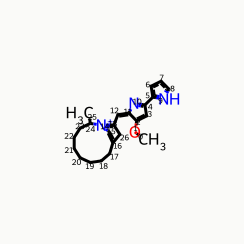 COC1=CC(c2ccc[nH]2)=NC1=CC1=[N+]2C=C(CCCCCCCC2C)C1